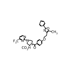 Cc1oc(-c2ccccc2)nc1CCOc1ccc(C(=O)N2CCN(c3nccc(C(F)(F)F)n3)CC2C(=O)O)cc1